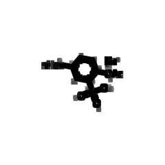 CCCCCCc1ccc(OC(C)=O)c(S(=O)(=O)[O-])c1.[Na+]